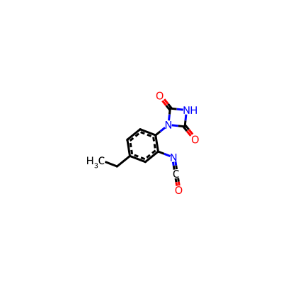 CCc1ccc(N2C(=O)NC2=O)c(N=C=O)c1